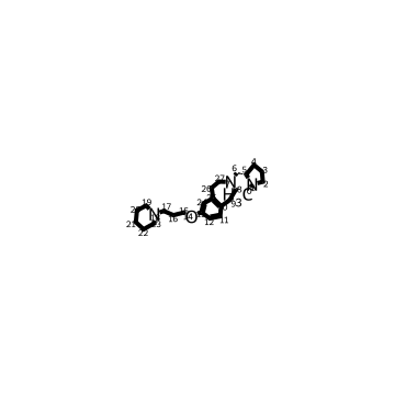 CN1CCC[C@H]1CN1CCc2ccc(OCCCN3CCCCC3)cc2CC1